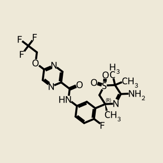 CC1(C)C(N)=N[C@](C)(c2cc(NC(=O)c3cnc(OCC(F)(F)F)cn3)ccc2F)CS1(=O)=O